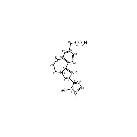 CC(C)n1ncnc1-c1cn2c(n1)-c1ccc(CC(=O)O)cc1OCC2